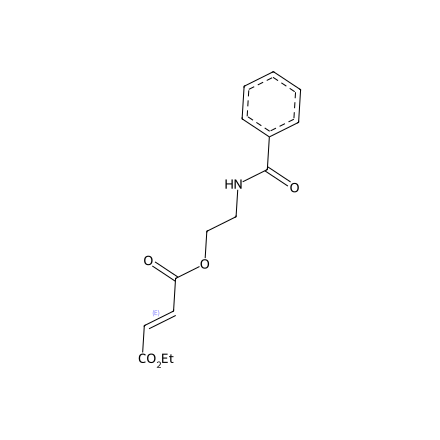 CCOC(=O)/C=C/C(=O)OCCNC(=O)c1ccccc1